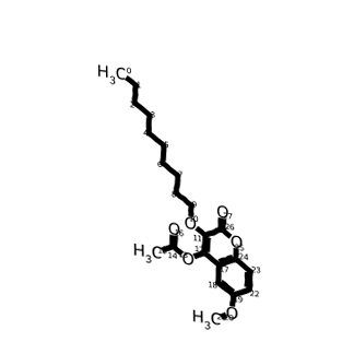 CCCCCCCCCCOc1c(OC(C)=O)c2cc(OC)ccc2oc1=O